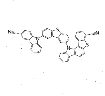 N#Cc1ccc2c(c1)c1ccccc1n2-c1ccc2sc3ccc(-n4c5ccccc5c5ccc6sc7c(C#N)cccc7c6c54)cc3c2c1